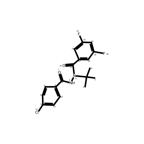 CC(C)(C)N(NC(=O)c1ccc(Cl)cc1)C(=O)c1cc(F)cc(F)c1